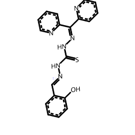 Oc1ccccc1/C=N/NC(=S)NN=C(c1ccccn1)c1ccccn1